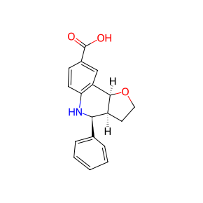 O=C(O)c1ccc2c(c1)[C@H]1OCC[C@H]1[C@@H](c1ccccc1)N2